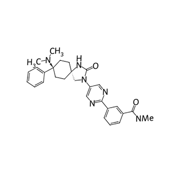 CNC(=O)c1cccc(-c2ncc(N3C[C@]4(CC[C@](c5ccccc5)(N(C)C)CC4)NC3=O)cn2)c1